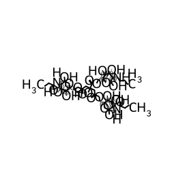 CCCCN[C@H]1C(O)O[C@H](COC(=O)C(O)(CC(=O)OC[C@H]2OC(O)[C@@H](NC(=O)CCC)[C@@H](O)[C@@H]2O)CC(=O)OC[C@H]2OC(O)[C@H](NC(=O)CCC)[C@@H](O)[C@@H]2O)[C@@H](O)[C@@H]1O